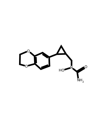 NC(=O)N(O)CC1CC1c1ccc2c(c1)OCCO2